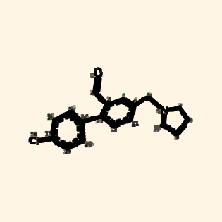 O=Cc1cc(CN2CCCC2)ccc1-c1ccc(Cl)cc1